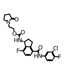 O=C(N[C@H]1CCc2c(C(=O)Nc3ccc(F)c(Cl)c3)ccc(F)c21)OCCN1CCCC1=O